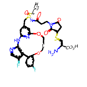 CS(=O)(Cc1cc2nc(c1)OCCCOc1cc(F)ccc1-c1cc(ncc1F)N2)=NC(=O)CCN1C(=O)CC(SC[C@H](N)C(=O)O)C1=O